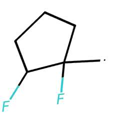 [CH2]C1(F)CCCC1F